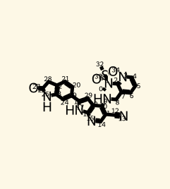 CN(c1ncccc1CNc1c(C#N)cnc2[nH]c(-c3ccc4c(c3)NC(=O)C4)cc12)S(C)(=O)=O